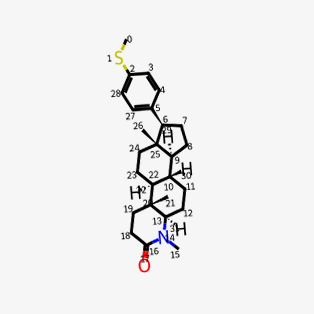 CSc1ccc([C@H]2CC[C@H]3[C@@H]4CC[C@H]5N(C)C(=O)CC[C@]5(C)[C@H]4CC[C@]23C)cc1